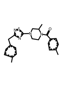 Cc1ccc(Cc2nsc(N3CCN(C(=O)c4ccc(C)cc4)C(C)C3)n2)cc1